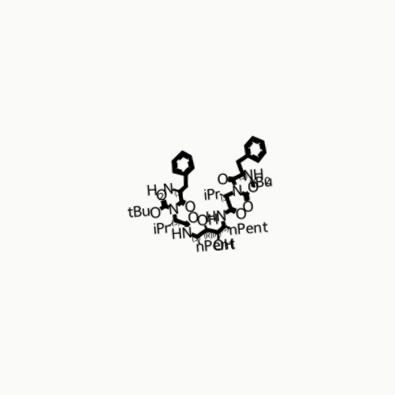 CCCCC[C@H](NC(=O)[C@H](C(C)C)N(C(=O)OC(C)(C)C)C(=O)[C@@H](N)Cc1ccccc1)[C@@H](O)[C@H](O)[C@H](CCCCC)NC(=O)[C@H](C(C)C)N(C(=O)OC(C)(C)C)C(=O)[C@@H](N)Cc1ccccc1